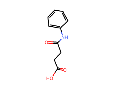 O=C(O)CCC(=O)Nc1cc[c]cc1